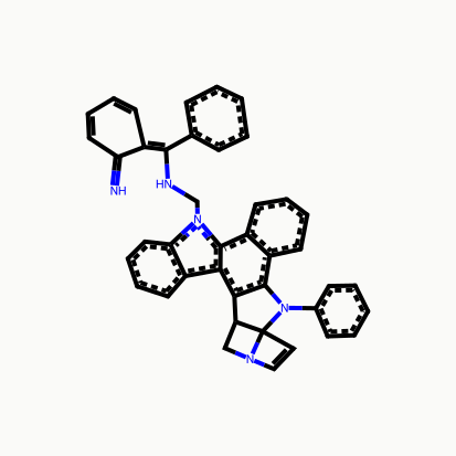 N=C1C=CC=C/C1=C(/NCn1c2ccccc2c2c3c(c4ccccc4c21)N(c1ccccc1)C12C=CN1CC32)c1ccccc1